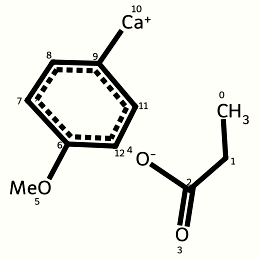 CCC(=O)[O-].COc1cc[c]([Ca+])cc1